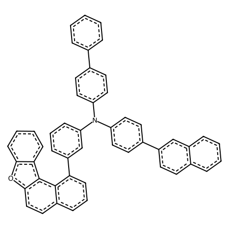 c1ccc(-c2ccc(N(c3ccc(-c4ccc5ccccc5c4)cc3)c3cccc(-c4cccc5ccc6oc7ccccc7c6c45)c3)cc2)cc1